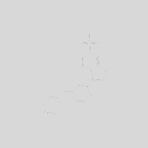 CS(=O)(=O)c1cc(F)c2c(c1)CCN2c1cc(OC2CCNCC2)ncn1